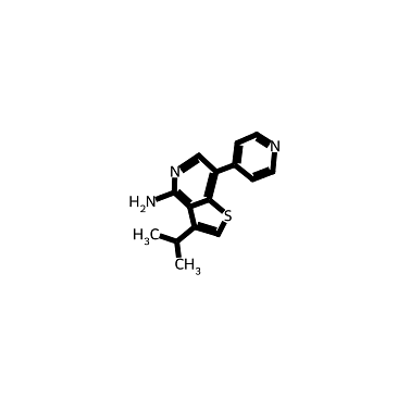 CC(C)c1csc2c(-c3ccncc3)cnc(N)c12